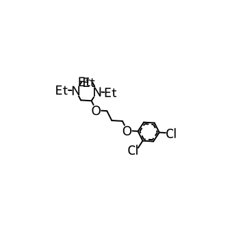 CCN(CC)CC(OCCCOc1ccc(Cl)cc1Cl)N(CC)CC